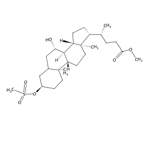 COC(=O)CC[C@@H](C)[C@H]1CC[C@H]2[C@@H]3[C@@H](O)CC4C[C@H](OS(C)(=O)=O)CC[C@]4(C)[C@H]3CC[C@]12C